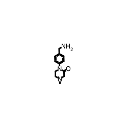 CN1CCN(c2ccc(CN)cc2)C(=O)C1